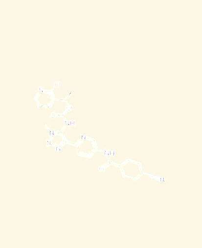 C[C@@H](OC(=O)Nc1c(-c2ccc(NC(=O)C3CCC(C#N)CC3)cn2)nnn1C)c1cccnc1Cl